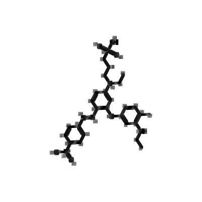 CCNc1cc(Oc2cc(N(CC)CCCS(=O)(=O)O)ccc2N=Nc2ccc([N+](=O)[O-])cc2)ccc1C